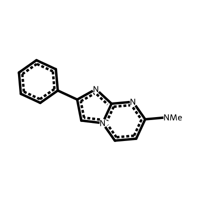 CNc1ccn2cc(-c3ccccc3)nc2n1